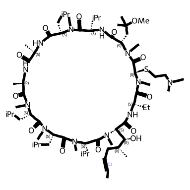 C/C=C/C[C@@H](C)[C@@H](O)[C@H]1C(=O)N[C@@H](CC)C(=O)N(C)[C@H](SCCN(C)C)C(=O)N(C)[C@@H](CC(C)(C)OC)C(=O)N[C@@H](C(C)C)C(=O)N(C)[C@@H](CC(C)C)C(=O)N[C@@H](C)C(=O)N[C@H](C)C(=O)N(C)[C@@H](CC(C)C)C(=O)N(C)[C@@H](CC(C)C)C(=O)N(C)[C@@H](C(C)C)C(=O)N1C